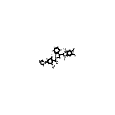 COc1cc(-n2cnnc2)cc(Cl)c1C(=O)NCC(c1ccccc1)C1Nc2cc(C)c(C)cc2N1